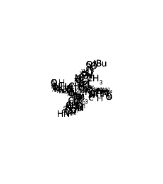 CN1CCN(C(=O)OC(C)(C)C)Cc2ccc(-c3nccc(-c4cccc(-c5ccc6c(CNC[C@@H]7CCC(=O)N7)cn(C)c6n5)c4Cl)c3Cl)cc21.CN1CCNCc2ccc(-c3nccc(-c4cccc(-c5ccc6c(CNC[C@@H]7CCC(=O)N7)cn(C)c6n5)c4Cl)c3Cl)cc21